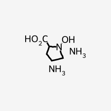 N.N.O=C(O)C1CCCN1O